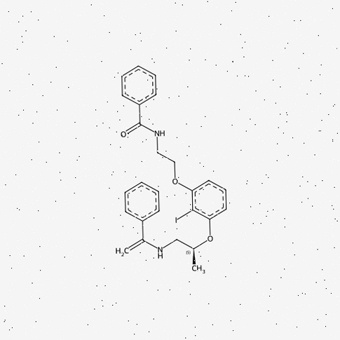 C=C(NC[C@H](C)Oc1cccc(OCCNC(=O)c2ccccc2)c1I)c1ccccc1